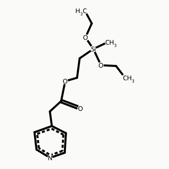 CCO[Si](C)(CCOC(=O)Cc1ccncc1)OCC